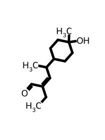 CC/C(C=O)=C/C(C)C1CCC(C)(O)CC1